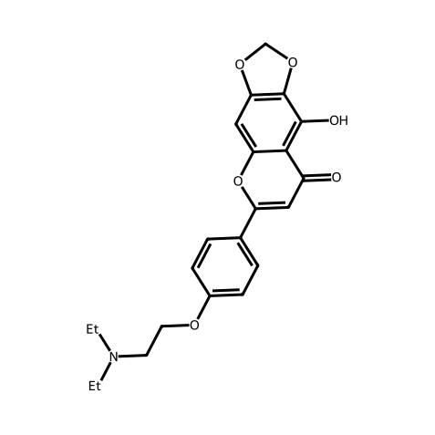 CCN(CC)CCOc1ccc(-c2cc(=O)c3c(O)c4c(cc3o2)OCO4)cc1